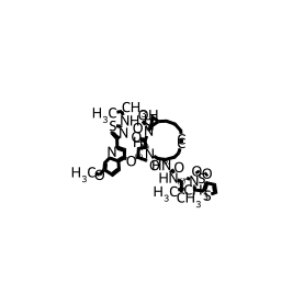 COc1ccc2c(O[C@@H]3C[C@H]4C(=O)N[C@]5(C(=O)O)CC5CCCCCCC[C@H](NC(=O)N[C@H](CN5Cc6sccc6S5(=O)=O)C(C)(C)C)C(=O)N4C3)cc(-c3csc(NC(C)C)n3)nc2c1